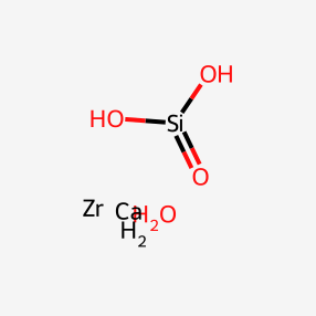 O.O=[Si](O)O.[CaH2].[Zr]